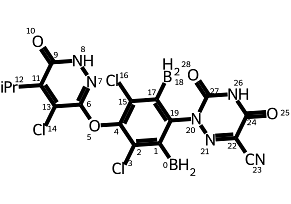 Bc1c(Cl)c(Oc2n[nH]c(=O)c(C(C)C)c2Cl)c(Cl)c(B)c1-n1nc(C#N)c(=O)[nH]c1=O